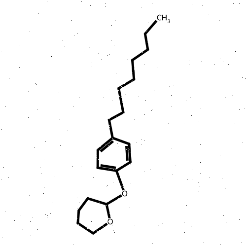 CCCCCCCCc1ccc(OC2CCCCO2)cc1